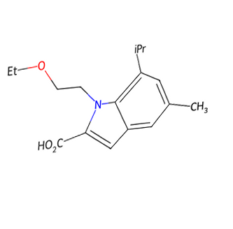 CCOCCn1c(C(=O)O)cc2cc(C)cc(C(C)C)c21